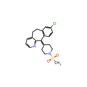 CS(=O)(=O)N1CCC(=C2c3ccc(Cl)cc3CCc3cccnc32)CC1